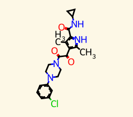 Cc1[nH]c(C(=O)NC2CC2)c(C)c1C(=O)C(=O)N1CCN(c2cccc(Cl)c2)CC1